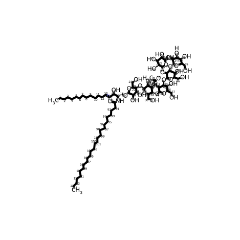 CCCCCCCCCCCCC/C=C/[C@@H](O)[C@H](CO[C@@H]1OC(CO)[C@@H](O[C@@H]2OC(CO)[C@H](O[C@@H]3OC(CO)[C@H](O)[C@H](O[C@@H]4OC(CO)[C@H](O)[C@H](O[C@H]5OC(CO)[C@H](O)[C@H](O)C5O)C4O[C@H]4OC(C)[C@@H](O)C(O)[C@@H]4O)C3NC(C)=O)[C@H](O)C2O)[C@H](O)C1O)NC(=O)CCCCCCCCCCCCCCCCCCCCCCCCC